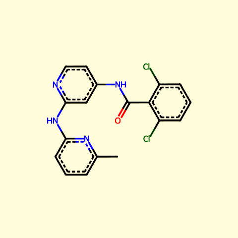 Cc1cccc(Nc2cc(NC(=O)c3c(Cl)cccc3Cl)ccn2)n1